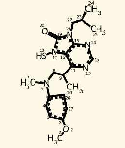 COc1ccc(N(C)CC(C)c2ncnc3c2n(S)c(=O)n3CC(C)C)cc1